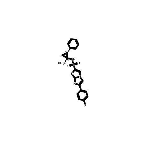 O=C(O)[C@@]1(NS(=O)(=O)c2cn3cc(-c4ccc(F)cc4)nc3s2)C[C@H]1c1ccccc1